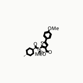 COC(=O)c1cc(-c2ccc(OC)cc2)sc1N(C(=O)[C@H]1CC[C@H](C)CC1)C(C)C